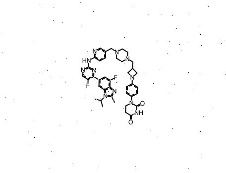 Cc1nc2c(F)cc(-c3nc(Nc4ccc(CN5CCN(CC6CN(c7ccc(N8CCC(=O)NC8=O)cc7)C6)CC5)cn4)ncc3F)cc2n1C(C)C